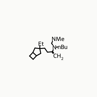 C=C(CCC1(CC)CC2CCC2C1)N(CCCC)CNC